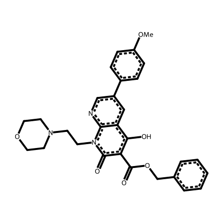 COc1ccc(-c2cnc3c(c2)c(O)c(C(=O)OCc2ccccc2)c(=O)n3CCN2CCOCC2)cc1